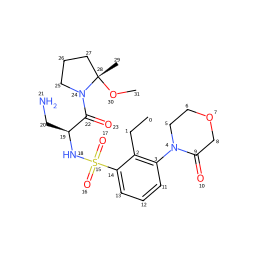 CCc1c(N2CCOCC2=O)cccc1S(=O)(=O)N[C@@H](CN)C(=O)N1CCC[C@]1(C)OC